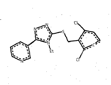 CCn1c(SCc2c(Cl)cccc2Cl)nnc1-c1cccnc1